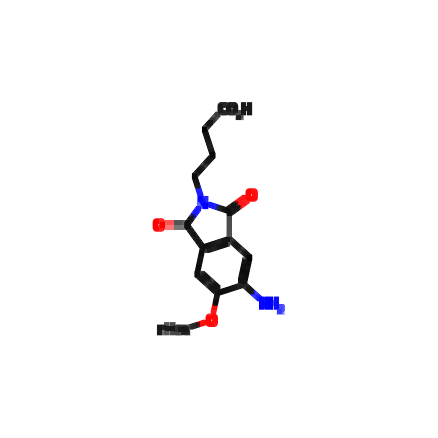 CCCCCCOc1cc2c(cc1N)C(=O)N(CCCC(=O)O)C2=O